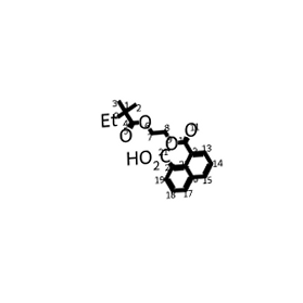 CCC(C)(C)C(=O)OCCOC(=O)c1cccc2cccc(C(=O)O)c12